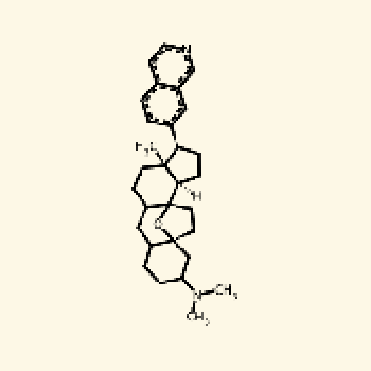 CN(C)C1CCC2CC3CC[C@]4(C)[C@@H](c5ccc6ccncc6c5)CC[C@H]4[C@@]34CC[C@]2(C1)O4